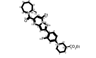 CCOC(=O)[C@H]1CCCN(c2ccc(-c3cc4nc(C(=O)N5CCCCC[C@H]5C)cc(CC)n4n3)c(F)c2)C1